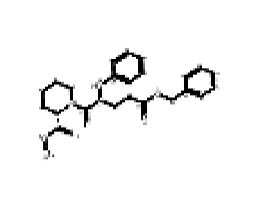 CC(C)(C)OC(=O)[C@@H]1CCCCN1C(=O)N(CCC(=O)OCc1ccccc1)Nc1ccccc1